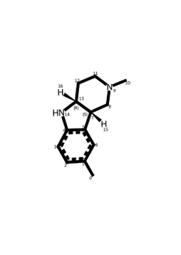 Cc1ccc2c(c1)[C@H]1CN(C)CC[C@H]1N2